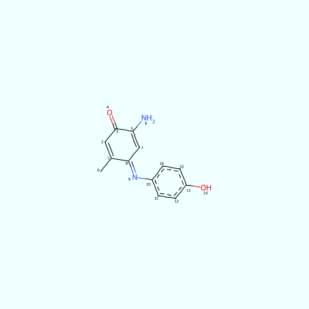 CC1=CC(=O)C(N)=CC1=Nc1ccc(O)cc1